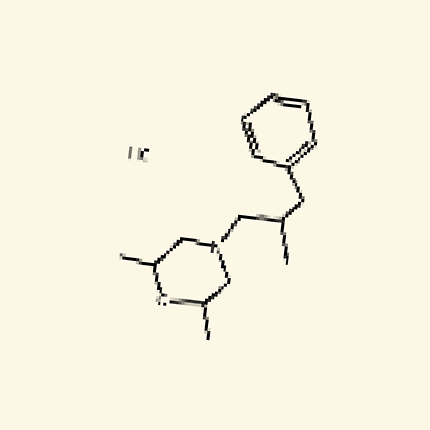 CC(Cc1ccccc1)CN1CC(C)OC(C)C1.Cl